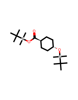 CC(C)(C)[Si](C)(C)OC(=O)[C@H]1CC[C@H](O[Si](C)(C)C(C)(C)C)CC1